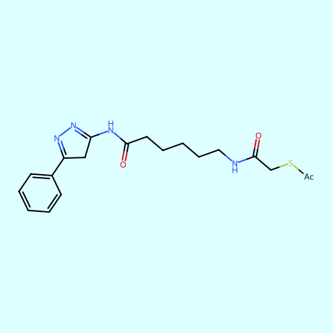 CC(=O)SCC(=O)NCCCCCC(=O)NC1=NN=C(c2ccccc2)C1